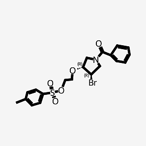 Cc1ccc(S(=O)(=O)OCCO[C@@H]2CN(C(=O)c3ccccc3)C[C@H]2Br)cc1